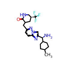 CC1CCC([C@H](N)c2cn3nc(CC4C[C@H](C(F)(F)F)CNC4=O)ccc3n2)CC1